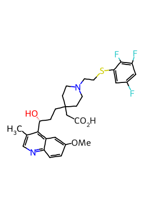 COc1ccc2ncc(C)c([C@H](O)CCC3(CC(=O)O)CCN(CCSc4cc(F)cc(F)c4F)CC3)c2c1